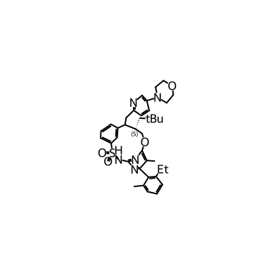 CCc1cccc(C)c1-c1nc2nc(c1C)OC[C@@H](CC(C)(C)C)C(Cc1ccc(N3CCOCC3)cn1)c1cccc(c1)S(=O)(=O)N2